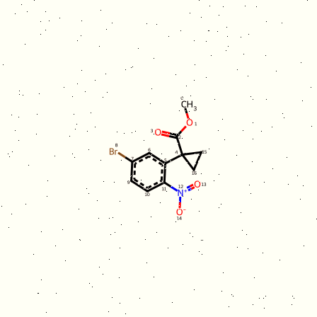 COC(=O)C1(c2cc(Br)ccc2[N+](=O)[O-])CC1